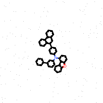 c1ccc(-c2cccc(N(c3ccc(-c4cc5ccccc5c5ccccc45)cc3)c3cccc4oc5ccccc5c34)c2)cc1